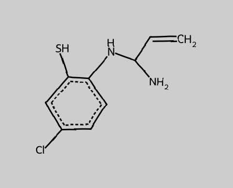 C=CC(N)Nc1ccc(Cl)cc1S